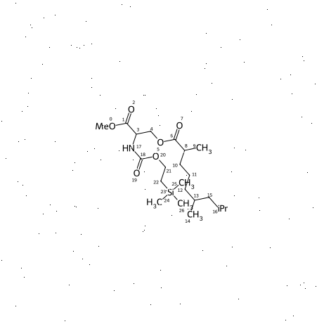 COC(=O)C(COC(=O)C(C)CCCC(C)CC(C)C)NC(=O)OCC[Si](C)(C)C